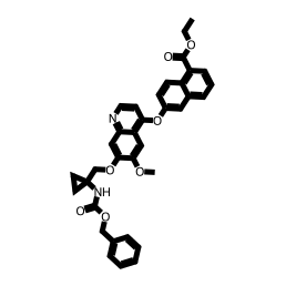 CCOC(=O)c1cccc2cc(Oc3ccnc4cc(OCC5(NC(=O)OCc6ccccc6)CC5)c(OC)cc34)ccc12